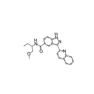 CCC(COC)NC(=O)c1ccc2[nH]nc(-c3ccc4ccccc4n3)c2c1